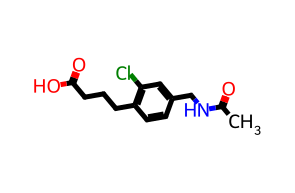 CC(=O)NCc1ccc(CCCC(=O)O)c(Cl)c1